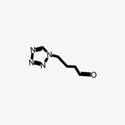 O=CCCCn1cnnn1